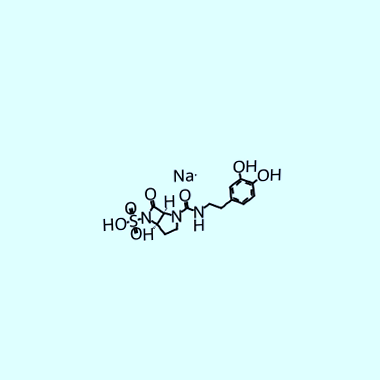 O=C(NCCc1ccc(O)c(O)c1)N1CC[C@@H]2[C@H]1C(=O)N2S(=O)(=O)O.[Na]